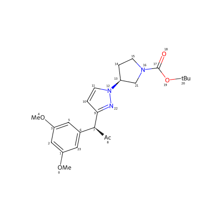 COc1cc(OC)cc([C@H](C(C)=O)c2ccn([C@H]3CCN(C(=O)OC(C)(C)C)C3)n2)c1